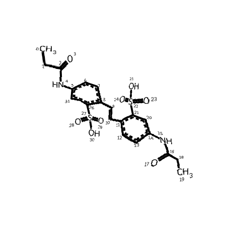 CCC(=O)Nc1ccc(/C=C/c2ccc(NC(=O)CC)cc2S(=O)(=O)O)c(S(=O)(=O)O)c1